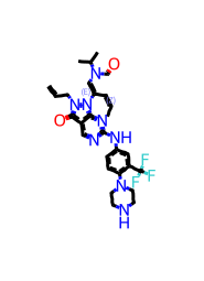 C=CCn1c(=O)c2cnc(Nc3ccc(N4CCNCC4)c(C(F)(F)F)c3)nc2n1C(/C=C\C)=C/N(C=O)C(C)C